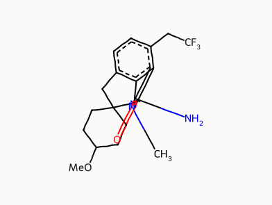 COC1CCC2(CC1)Cc1ccc(CC(F)(F)F)cc1C21N=C(N)N(C)C1=O